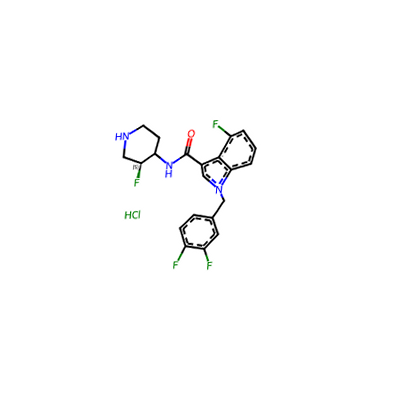 Cl.O=C(NC1CCNC[C@@H]1F)c1cn(Cc2ccc(F)c(F)c2)c2cccc(F)c12